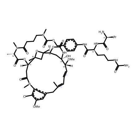 COc1cc2cc(c1Cl)N(C)C(=O)C[C@H](OC(=O)[C@H](C)N(C)C(=O)CCCN(C)C(=O)OCc1ccc(NC(=O)[C@H](CCCNC(N)=O)NC(=O)[C@@H](N)C(C)C)cc1)[C@@]1(C)CC(C)(O1)[C@@H]1C[C@@](O)(NC(=O)O1)[C@H](OC)/C=C/C=C(\C)C2